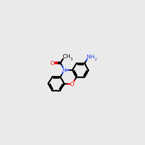 CC(=O)N1c2ccccc2Oc2ccc(N)cc21